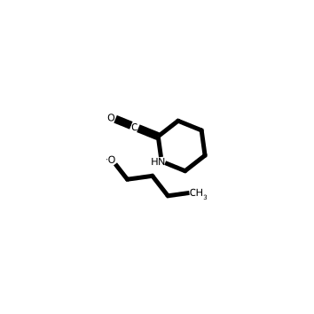 CCCC[O].O=C=C1CCCCN1